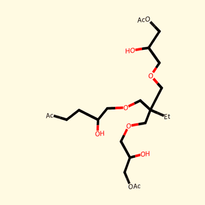 CCC(COCC(O)CCC(C)=O)(COCC(O)COC(C)=O)COCC(O)COC(C)=O